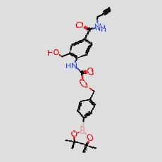 C#CCNC(=O)c1ccc(NC(=O)OCc2ccc(B3OC(C)(C)C(C)(C)O3)cc2)c(CO)c1